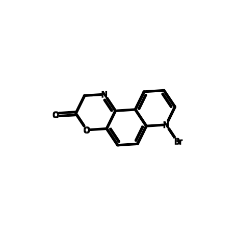 O=C1CN=c2c(ccc3c2=CC=CN3Br)O1